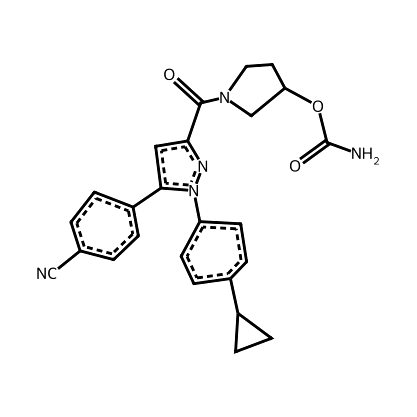 N#Cc1ccc(-c2cc(C(=O)N3CCC(OC(N)=O)C3)nn2-c2ccc(C3CC3)cc2)cc1